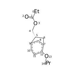 CCC(=O)OC[C@@H]1Cc2cc1ccc2OC(C)C